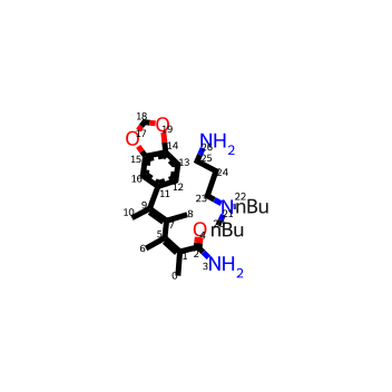 CC(C(N)=O)=C(C)C(C)=C(C)c1ccc2c(c1)OCO2.CCCCN(CCCC)CCCN